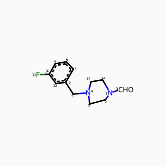 O=CN1CCN(Cc2cccc(F)c2)CC1